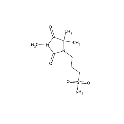 CN1C(=O)N(CCCS(N)(=O)=O)C(C)(C)C1=O